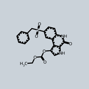 CCOC(=O)Oc1c[nH]c2c(=O)[nH]c3ccc(S(=O)(=O)Cc4ccccc4)cc3c12